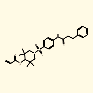 C=CC(=O)NC1C(C)(C)CN(S(=O)(=O)c2ccc(NC(=O)CCc3ccccc3)cc2)CC1(C)C